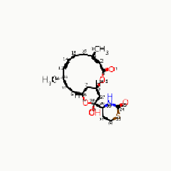 C/C1=C/C(=O)O[C@@H]2C[C@@H](CC[C@H](C)/C=C\CC1)O[C@@](O)([C@@H]1CCSC(=O)N1)C2